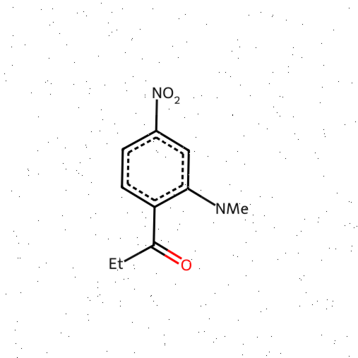 CCC(=O)c1ccc([N+](=O)[O-])cc1NC